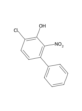 O=[N+]([O-])c1c(-c2ccccc2)ccc(Cl)c1O